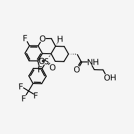 O=C(C[C@@H]1CC[C@@]2(S(=O)(=O)c3ccc(C(F)(F)F)cc3)c3c(F)ccc(F)c3OC[C@H]2C1)NCCO